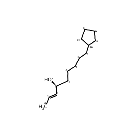 C/C=C/[C@@H](O)CCCCCC1CCCC1